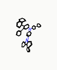 c1ccc(-c2ccc(N(c3ccc(-n4c5ccccc5c5c6ccccc6ccc54)cc3)c3ccc(-c4cccc5ccccc45)c(-c4ccccc4)c3)cc2)cc1